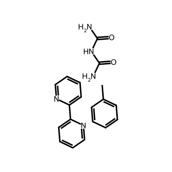 Cc1ccccc1.NC(=O)NC(N)=O.c1ccc(-c2ccccn2)nc1